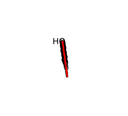 CCCCCCCCCCCCCCCCCCOCCOCCOCCOCCOCCOCCOCCOCCOCCO